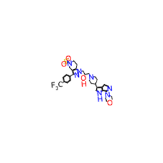 CS(=O)(=O)N1CCc2c(c(-c3ccc(C(F)(F)F)cc3)nn2CC(O)CN2CCC(c3c[nH]c4c(N5CCOCC5)nccc34)CC2)C1